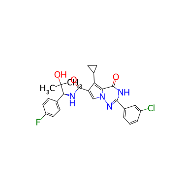 CC(C)(O)[C@@H](NC(=O)c1cn2nc(-c3cccc(Cl)c3)[nH]c(=O)c2c1C1CC1)c1ccc(F)cc1